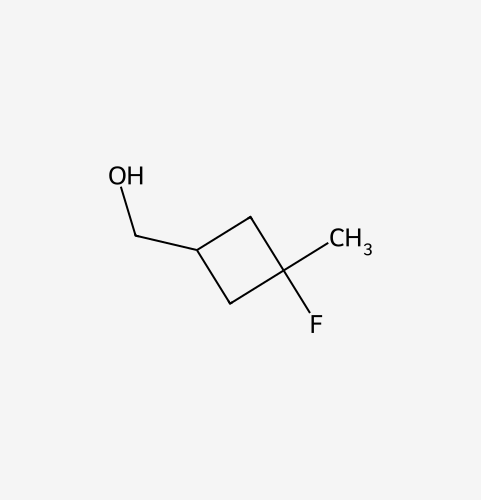 CC1(F)CC(CO)C1